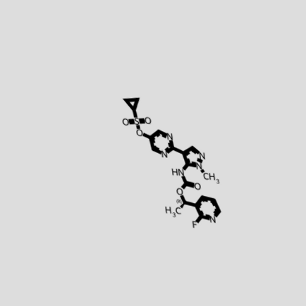 C[C@@H](OC(=O)Nc1c(-c2ncc(OS(=O)(=O)C3CC3)cn2)cnn1C)c1cccnc1F